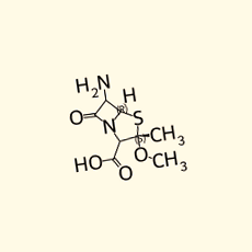 CO[C@@]1(C)S[C@@H]2C(N)C(=O)N2C1C(=O)O